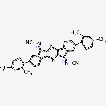 Cc1cc(C(F)(F)F)ccc1-c1ccc2c(c1)/c(=N\C#N)c1nc3c(nc12)/c(=N/C#N)c1cc(-c2ccc(C(F)(F)F)cc2C(F)(F)F)ccc13